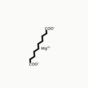 O=C([O-])CCCCCCCCC(=O)[O-].[Mg+2]